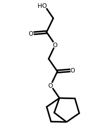 O=C(CO)OCC(=O)OC12CCC(CC1)C2